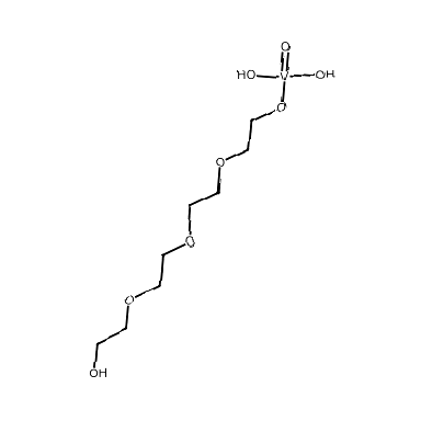 [O]=[V]([OH])([OH])[O]CCOCCOCCOCCO